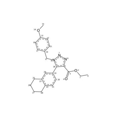 CCOC(=O)c1nnn(Cc2ccc(OC)cc2)c1-c1ccc2c(c1)CCCC2